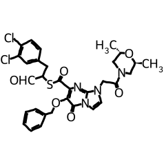 C[C@H]1CN(C(=O)Cn2ccn3c(=O)c(OCc4ccccc4)c(C(=O)SC(C=O)Cc4ccc(Cl)c(Cl)c4)nc23)C[C@H](C)O1